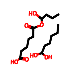 CCCC(O)OC(=O)CCCCC(=O)O.CCCCCC(O)O